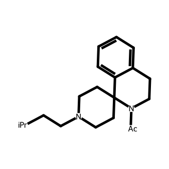 CC(=O)N1CCc2ccccc2C12CCN(CCC(C)C)CC2